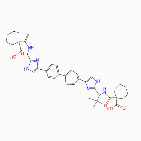 C=C(NCc1nc(-c2ccc(-c3ccc(-c4c[nH]c(C(NC(=O)C5(C(=O)O)CCCCC5)C(C)(C)C)n4)cc3)cc2)c[nH]1)C1(C(=O)O)CCCCC1